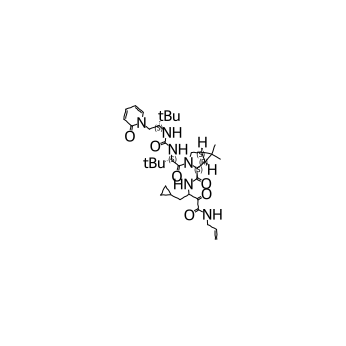 C=CCNC(=O)C(=O)C(CC1CC1)NC(=O)[C@@H]1[C@@H]2[C@H](CN1C(=O)[C@@H](NC(=O)N[C@H](Cn1ccccc1=O)C(C)(C)C)C(C)(C)C)C2(C)C